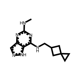 CNc1nc(NCC2CC3(CC3)C2)c2[nH]ncc2n1